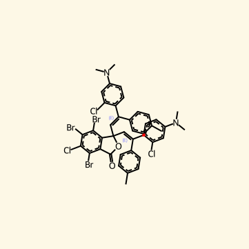 Cc1ccc(/C(=C\C2(/C=C(\c3ccc(C)cc3)c3ccc(N(C)C)cc3Cl)OC(=O)c3c(Br)c(Cl)c(Br)c(Br)c32)c2ccc(N(C)C)cc2Cl)cc1